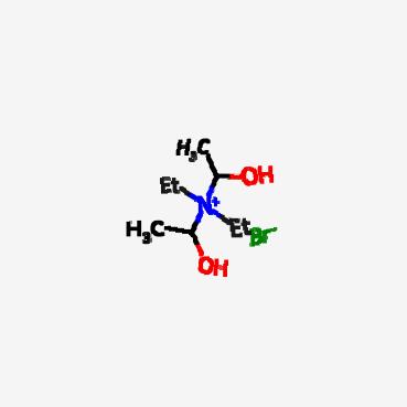 CC[N+](CC)(C(C)O)C(C)O.[Br-]